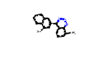 Cc1cccc2c(-c3cc(C(C)(C)C)c4ccccc4c3)nnnc12